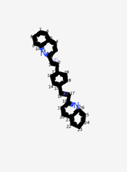 C(=C\c1ccc2ccccc2n1)/c1ccc(/C=C/c2ccc3ccccc3n2)cc1